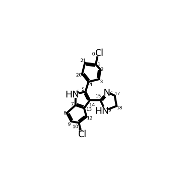 Clc1ccc(-c2[nH]c3ccc(Cl)cc3c2C2=NCCN2)cc1